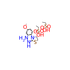 CCS(=O)(=O)O.CCS(=O)(=O)O.COc1ccc(N2CCSC2=N)c(N)c1